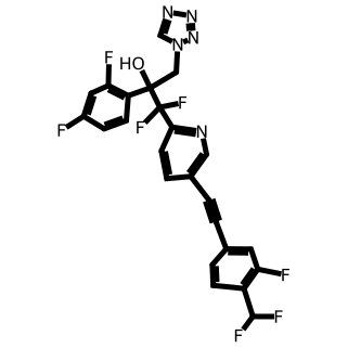 OC(Cn1cnnn1)(c1ccc(F)cc1F)C(F)(F)c1ccc(C#Cc2ccc(C(F)F)c(F)c2)cn1